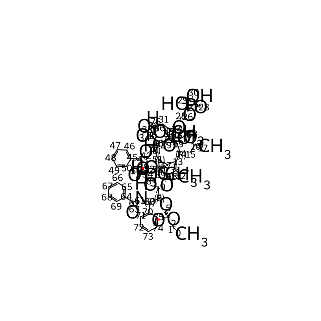 CCOC(=O)O[C@@H](C(=O)O[C@@H]1C(C)=C2[C@@H](CC(C)=O)C(=O)[C@]3(C)[C@@H](OCOP(=O)(O)O)C[C@H]4OO[C@@]4(OC(C)=O)[C@H]3[C@H](OC(=O)c3ccccc3)[C@](O)([C@H]1OC=O)C2(C)C)[C@@H](NC(=O)c1ccccc1)c1ccccc1